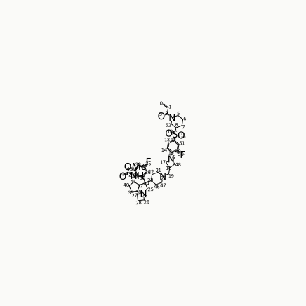 C=CC(=O)N1CCC[C@@H](S(=O)(=O)c2ccc(N3CC(CN4CCC(C(CN5CCC5)(c5cccc(F)c5)[C@H]5CCC[C@@H]5NC(=O)OC)CC4)C3)c(F)c2)C1